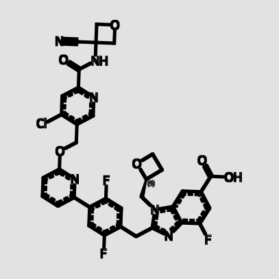 N#CC1(NC(=O)c2cc(Cl)c(COc3cccc(-c4cc(F)c(Cc5nc6c(F)cc(C(=O)O)cc6n5C[C@@H]5CCO5)cc4F)n3)cn2)COC1